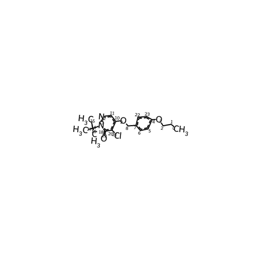 CCCOc1ccc(COc2cnn(C(C)(C)C)c(=O)c2Cl)cc1